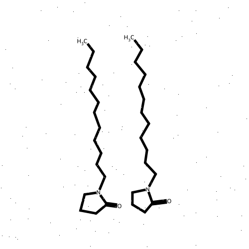 CCCCCCCCCCCCN1CCCC1=O.CCCCCCCCCCCCN1CCCC1=O